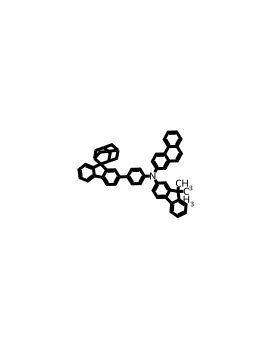 CC1(C)c2ccccc2-c2ccc(N(c3ccc(-c4ccc5c(c4)C4(c6ccccc6-5)C5CC6CC(C5)CC4C6)cc3)c3ccc4c(ccc5ccccc54)c3)cc21